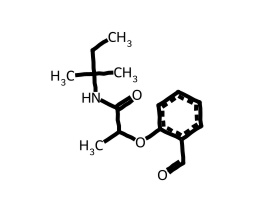 CCC(C)(C)NC(=O)C(C)Oc1ccccc1C=O